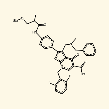 CC(C)C(=O)c1cn(Cc2c(F)cccc2F)c2sc(-c3ccc(NC(=O)C(C)COC(C)(C)C)cc3)c(CN(C)Cc3ccccc3)c2c1=O